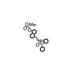 COC(=O)COc1cccc2c(CCNC(=O)C(c3ccccc3)c3ccccc3)cccc12